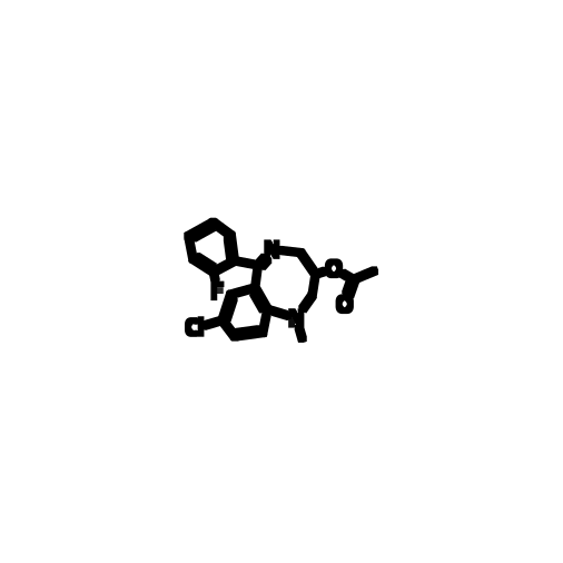 CC(=O)OC1CN=C(c2ccccc2F)c2cc(Cl)ccc2N(C)C1